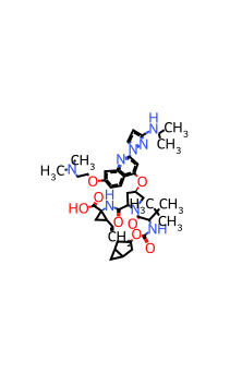 C=CC1C[C@]1(NC(=O)C1C[C@@H](Oc2cc(-n3ccc(NC(C)C)n3)nc3cc(OCCN(C)C)ccc23)CN1C(=O)C(NC(=O)OC1CC2CC2C1)C(C)(C)C)C(=O)O